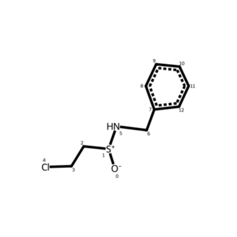 [O-][S+](CCCl)NCc1ccccc1